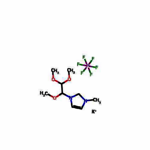 COC(OC)C(OC)N1C=CN(C)C1.F[P-](F)(F)(F)(F)F.[K+]